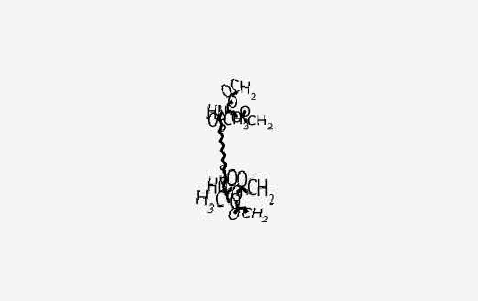 C=CC(=O)OCC(C)(COC(=O)C=C)NC(=O)SCCCCCCCCSC(=O)NC(C)(COC(=O)C=C)COC(=O)C=C